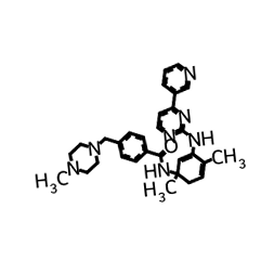 CC1=CCC(C)(NC(=O)c2ccc(CN3CCN(C)CC3)cc2)C=C1Nc1nccc(-c2cccnc2)n1